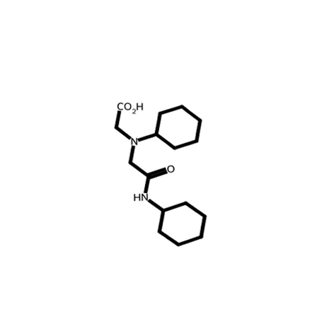 O=C(O)CN(CC(=O)NC1CCCCC1)C1CCCCC1